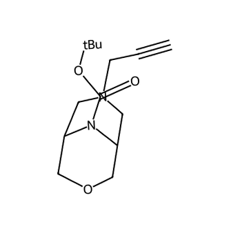 C#CCN1CC2COCC(C1)N2C(=O)OC(C)(C)C